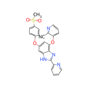 CS(=O)(=O)c1ccc(Oc2cc(Oc3cccnc3C#N)c3nc(-c4ccccn4)[nH]c3c2)cc1